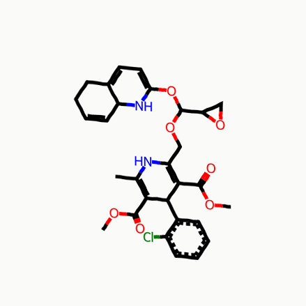 COC(=O)C1=C(C)NC(COC(OC2=CC=C3CCC=CC3N2)C2CO2)=C(C(=O)OC)C1c1ccccc1Cl